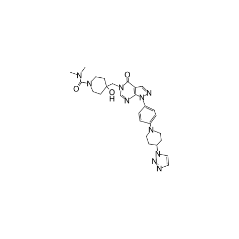 CN(C)C(=O)N1CCC(O)(Cn2cnc3c(cnn3-c3ccc(N4CCC(n5ccnn5)CC4)cc3)c2=O)CC1